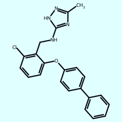 Cc1n[nH]c(NCc2c(Cl)cccc2Oc2ccc(-c3ccccc3)cc2)n1